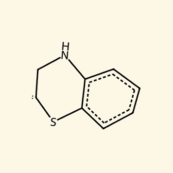 [C]1CNc2ccccc2S1